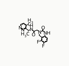 Cc1ccnnc1[C@@H](C)NC(=O)CN1Cc2c(ccc(F)c2F)NC1=O